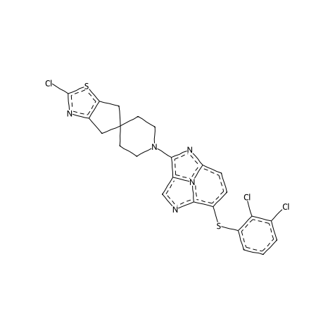 Clc1nc2c(s1)CC1(CCN(c3nc4ccc(Sc5cccc(Cl)c5Cl)c5ncc3n45)CC1)C2